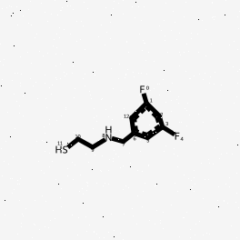 Fc1cc(F)cc(CNCCS)c1